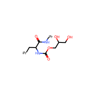 CC(C)CC(NC(=O)OCC(O)CO)C(=O)NC(C)C